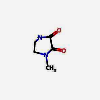 CN1CC[N]C(=O)C1=O